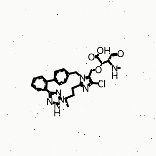 CCCCc1nc(Cl)c(CO[C@@H](C(=O)O)C(C=O)NC)n1Cc1ccc(-c2ccccc2-c2nn[nH]n2)cc1